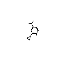 CC(N)c1ccc(F)c(C2CC2)c1